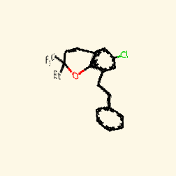 CCC1(C(F)(F)F)C=Cc2cc(Cl)cc(CCc3ccccc3)c2O1